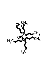 CCC[CH2][Sn]([CH2]CCC)([CH2]CCC)[S](=O)[Sn]([CH2]CCC)([CH2]CCC)[CH2]CCC